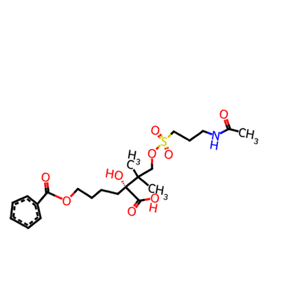 CC(=O)NCCCS(=O)(=O)OCC(C)(C)[C@](O)(CCCCOC(=O)c1ccccc1)C(=O)O